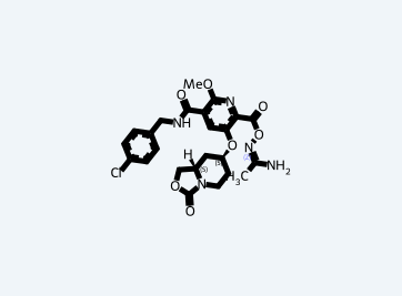 COc1nc(C(=O)O/N=C(/C)N)c(O[C@H]2CCN3C(=O)OC[C@@H]3C2)cc1C(=O)NCc1ccc(Cl)cc1